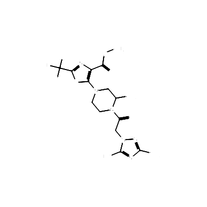 COC(=O)c1nc(C(F)(F)F)sc1N1CCN(C(=O)Cn2nc(C)nc2C)C(C)C1